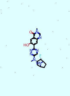 CN(c1cnc(-c2cc3ncn(C)c(=O)c3cc2O)nn1)[C@H]1CC2CCC(N2)[C@H]1F